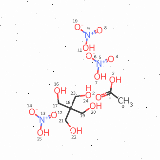 CC(=O)O.O=[N+]([O-])O.O=[N+]([O-])O.O=[N+]([O-])O.OCC(CO)(CO)CO